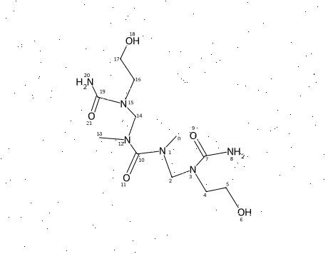 CN(CN(CCO)C(N)=O)C(=O)N(C)CN(CCO)C(N)=O